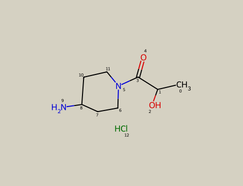 CC(O)C(=O)N1CCC(N)CC1.Cl